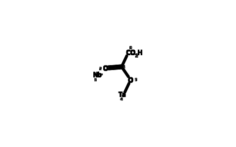 O=C(O)C(=O)[O][Ta].[Nb]